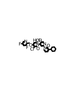 Cc1cnc(-n2cccc(C3CCCCC3)c2=O)cc1-n1c(C)cc(OCc2ncc(F)cc2F)c(Cl)c1=O